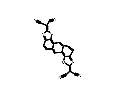 N#CC(C#N)=c1nc2ccc3cc4c(ccc5nc(=C(C#N)C#N)oc54)cc3c2o1